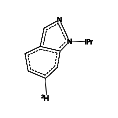 [2H]c1ccc2cnn(C(C)C)c2c1